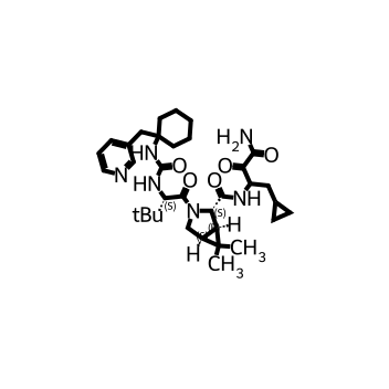 CC(C)(C)[C@H](NC(=O)NC1(Cc2cccnc2)CCCCC1)C(=O)N1C[C@H]2[C@@H]([C@H]1C(=O)NC(CC1CC1)C(=O)C(N)=O)C2(C)C